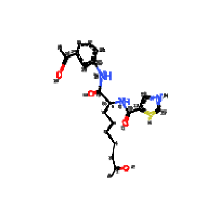 CC(=O)CCCCC[C@H](NC(=O)c1cncs1)C(=O)Nc1cccc(C(C)=O)c1